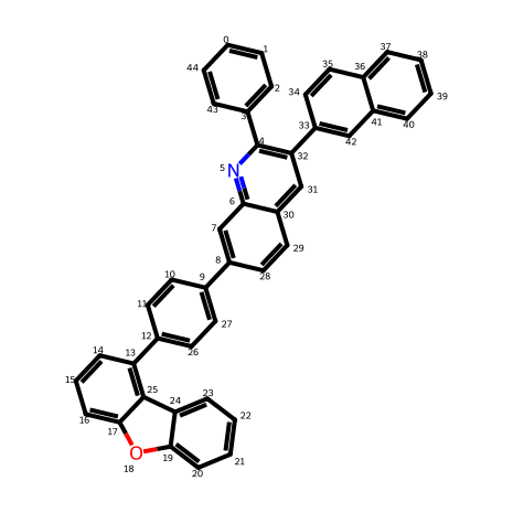 c1ccc(-c2nc3cc(-c4ccc(-c5cccc6oc7ccccc7c56)cc4)ccc3cc2-c2ccc3ccccc3c2)cc1